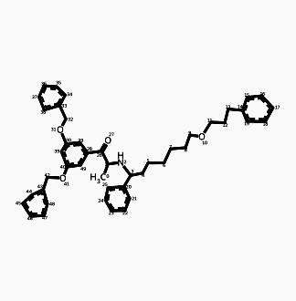 CC(NC(CCCCCCOCCCc1ccccc1)c1ccccc1)C(=O)c1cc(OCc2ccccc2)cc(OCc2ccccc2)c1